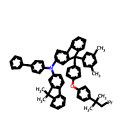 Cc1cc(C)cc(C2(c3ccc(Oc4ccc(C(C)(C)CC(C)C)cc4)cc3)c3ccccc3-c3ccc(N(c4ccc(-c5ccccc5)cc4)c4ccc5c(c4)C(C)(C)c4ccccc4-5)cc32)c1